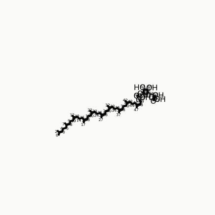 CC(C)=CCC/C(C)=C/CC/C(C)=C\CC/C(C)=C\CC/C(C)=C\CC/C(C)=C\CC/C(C)=C\CC/C(C)=C\CC/C(C)=C\CC/C(C)=C\COP(=O)(O)O[C@@H]1O[C@H](COP(=O)(O)O)[C@@H](O)[C@H]1O